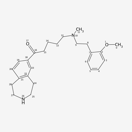 COc1ccccc1CCN(C)CCCCC(=O)c1ccc2c(c1)CCNCC2